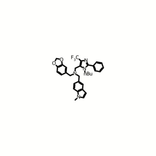 CCCCn1c(-c2ccccc2)nc(C(F)(F)F)c1CN(Cc1ccc2c(c1)OCO2)Cc1ccc2c(ccn2C)c1